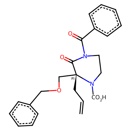 C=CC[C@@]1(COCc2ccccc2)C(=O)N(C(=O)c2ccccc2)CCN1C(=O)O